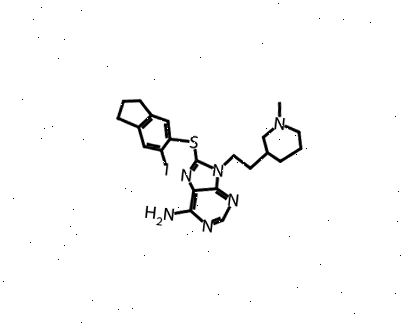 CN1CCCC(CCn2c(Sc3cc4c(cc3I)CCC4)nc3c(N)ncnc32)C1